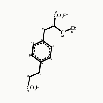 CCOC(=O)C(Cc1ccc(CCC(=O)O)cc1)OCC